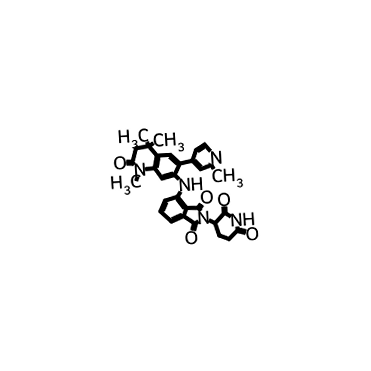 Cc1cc(-c2cc3c(cc2Nc2cccc4c2C(=O)N(C2CCC(=O)NC2=O)C4=O)N(C)C(=O)CC3(C)C)ccn1